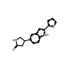 O=C1CC(c2ccc3[nH]c(-c4cccs4)cc3c2)CN1